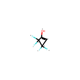 OC1=CC(F)(F)C1(F)F